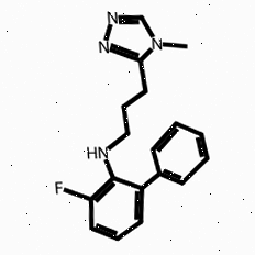 Cn1cnnc1CCCNc1c(F)cccc1-c1ccccc1